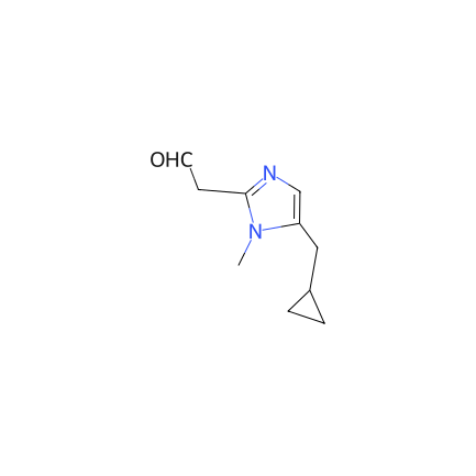 Cn1c(CC2CC2)cnc1CC=O